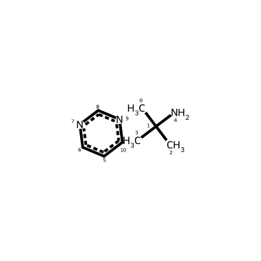 CC(C)(C)N.c1cncnc1